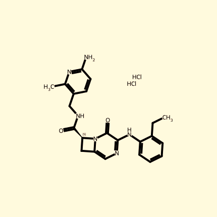 CCc1ccccc1Nc1ncc2n(c1=O)[C@H](C(=O)NCc1ccc(N)nc1C)C2.Cl.Cl